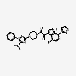 CN(C)c1nc(N2CCN(C(=O)C(=O)c3c[nH]c4c(-n5ccnn5)ncc(F)c34)CC2)nn1-c1ccccc1